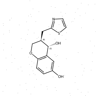 Oc1ccc2c(c1)[C@@H](O)[C@H](Cc1nccs1)CO2